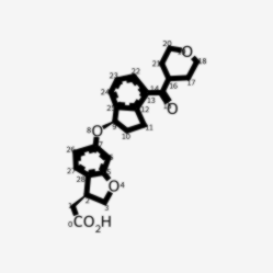 O=C(O)C[C@@H]1COc2cc(O[C@@H]3CCc4c(C(=O)C5CCOCC5)cccc43)ccc21